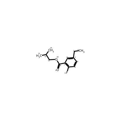 CCc1ccc(F)c(C(=O)OCC(C)C)c1